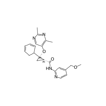 COCc1ccnc(NC(=O)[C@@H]2C[C@@]2(Oc2cnc(C)nc2C)C2C=CC=CC2)c1